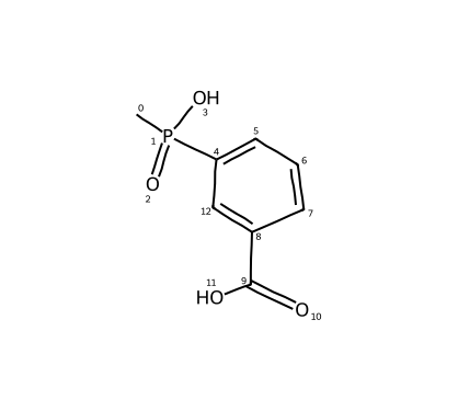 CP(=O)(O)c1cccc(C(=O)O)c1